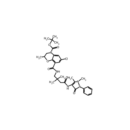 Cc1c(NC(=O)CC(C)(C)CNC(=O)c2cc(Cl)cc3c2OC(C)CN3C(=O)OC(C)(C)C)c(=O)n(-c2ccccc2)n1C